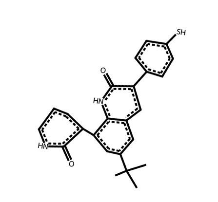 CC(C)(C)c1cc(-c2ccc[nH]c2=O)c2[nH]c(=O)c(-c3ccc(S)cc3)cc2c1